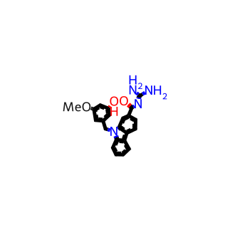 COc1cc(O)cc(Cn2c3ccccc3c3ccc(C(=O)N=C(N)N)cc32)c1